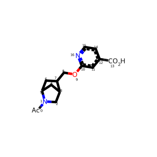 CC(=O)N1CC2CC1CC2COc1cc(C(=O)O)ccn1